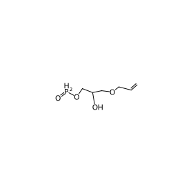 C=CCOCC(O)CO[PH2]=O